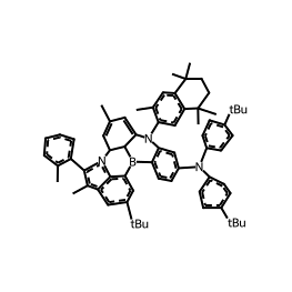 CC1=CC2C3B(c4ccc(N(c5ccc(C(C)(C)C)cc5)c5ccc(C(C)(C)C)cc5)cc4N(c4cc5c(cc4C)C(C)(C)CCC5(C)C)C3=C1)c1cc(C(C)(C)C)cc3c(C)c(-c4ccccc4C)n2c13